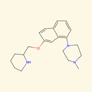 CN1CCN(c2cccc3ccc(OCC4CCCCN4)cc23)CC1